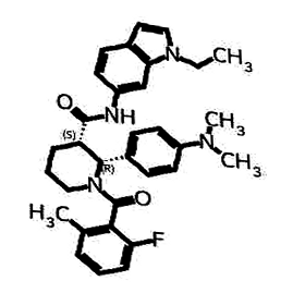 CCn1ccc2ccc(NC(=O)[C@H]3CCCN(C(=O)c4c(C)cccc4F)[C@H]3c3ccc(N(C)C)cc3)cc21